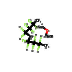 CCCCCCCCCOCCCCCCCCC.FC(F)(F)C(F)(F)C(F)(F)[C](F)(F)[Sn][C](F)(F)C(F)(F)C(F)(F)C(F)(F)F